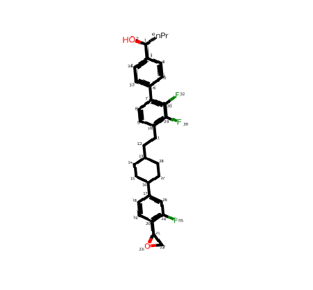 CCCC(O)c1ccc(-c2ccc(CCC3CCC(c4ccc(C5CO5)c(F)c4)CC3)c(F)c2F)cc1